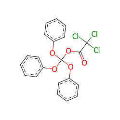 O=C(OC(Oc1ccccc1)(Oc1ccccc1)Oc1ccccc1)C(Cl)(Cl)Cl